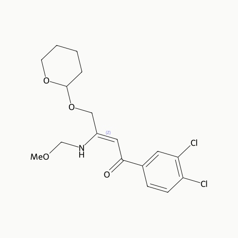 COCN/C(=C\C(=O)c1ccc(Cl)c(Cl)c1)COC1CCCCO1